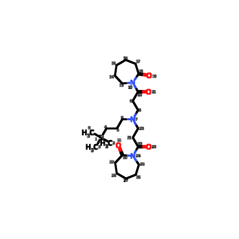 C[Si](C)(C)CCCN(CCC(=O)N1CCCCCC1=O)CCC(=O)N1CCCCCC1=O